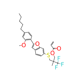 C=CC(=O)OCC(C)(CSc1ccc2cc(-c3ccc(CCCCC)cc3OC)oc2c1)C(F)(F)F